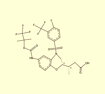 C[C@@H](CC(=O)O)[C@H]1CN(S(=O)(=O)c2ccc(F)c(C(F)(F)F)c2)c2cc(NC(=O)OC(C)(C)C(F)(F)F)ccc2O1